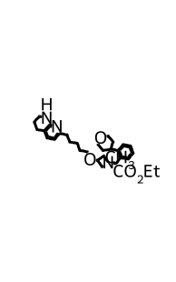 CCOC(=O)C(c1ccccc1C1(C)CCOCC1)N1CC(OCCCCCc2ccc3c(n2)NCCC3)C1